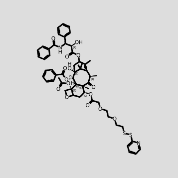 CC(=O)O[C@@]12COC1C[C@H](OC(=O)COCCOCCSSc1ccccn1)[C@@]1(C)C(=O)[C@H](C)C3=C(C)C(OC(=O)[C@H](O)C(NC(=O)c4ccccc4)c4ccccc4)C[C@@](O)([C@@H](OC(=O)c4ccccc4)[C@@H]12)C3(C)C